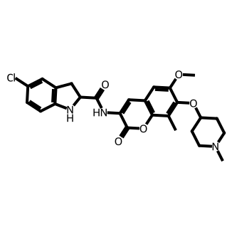 COc1cc2cc(NC(=O)C3Cc4cc(Cl)ccc4N3)c(=O)oc2c(C)c1OC1CCN(C)CC1